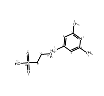 Cc1cc(C)nc(C)c1.O=S(=O)(O)CCO